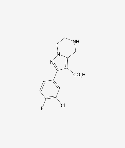 O=C(O)c1c(-c2ccc(F)c(Cl)c2)nn2c1CNCC2